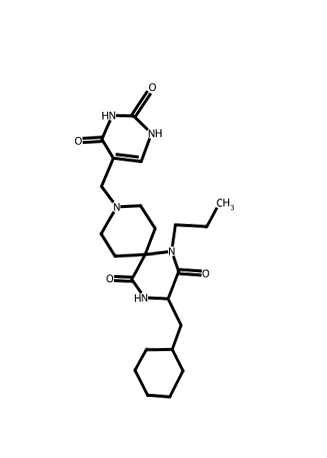 CCCN1C(=O)C(CC2CCCCC2)NC(=O)C12CCN(Cc1c[nH]c(=O)[nH]c1=O)CC2